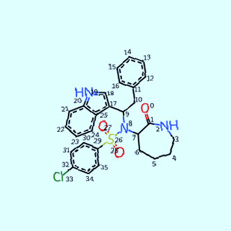 O=C1NCCCCC1N(C(Cc1ccccc1)c1c[nH]c2ccccc12)S(=O)(=O)c1ccc(Cl)cc1